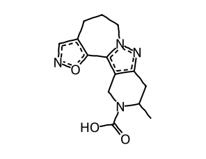 CC1Cc2nn3c(c2CN1C(=O)O)-c1oncc1CCC3